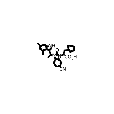 Cc1cc(C)c2c(C(C)n3c(=O)n(C(Cc4ccccc4)C(=O)O)c4cc(C#N)ccc43)c[nH]c2c1